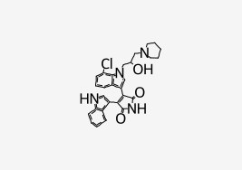 O=C1NC(=O)C(c2cn(CC(O)CN3CCCCC3)c3c(Cl)cccc23)=C1c1c[nH]c2ccccc12